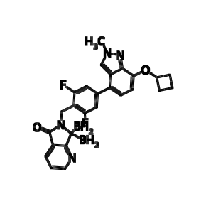 BC1(B)c2ncccc2C(=O)N1Cc1c(F)cc(-c2ccc(OC3CCC3)c3nn(C)cc23)cc1F